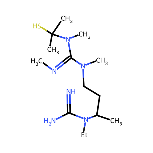 CCN(C(=N)N)C(C)CCN(C)/C(=N/C)N(C)C(C)(C)S